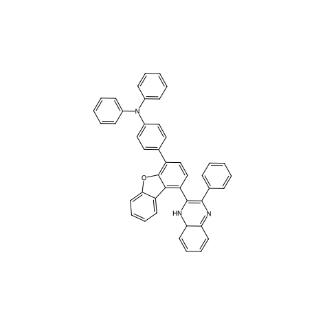 C1=CC2=NC(c3ccccc3)=C(c3ccc(-c4ccc(N(c5ccccc5)c5ccccc5)cc4)c4oc5ccccc5c34)NC2C=C1